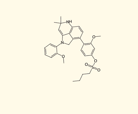 CCCCS(=O)(=O)Oc1ccc(-c2ccc3c4c2CN(c2ccccc2OC)C4=CC(C)(C)N3)c(OC)c1